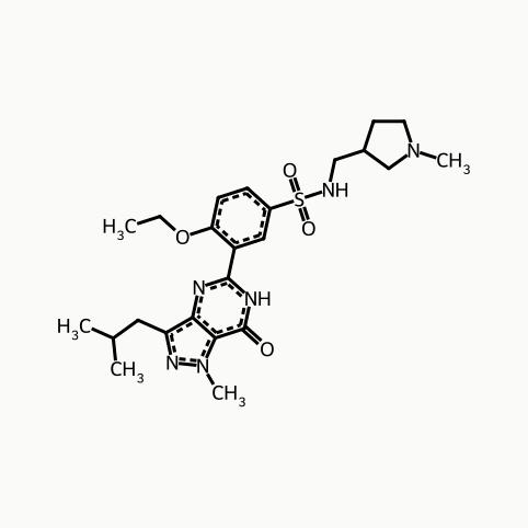 CCOc1ccc(S(=O)(=O)NCC2CCN(C)C2)cc1-c1nc2c(CC(C)C)nn(C)c2c(=O)[nH]1